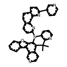 CC1(C)c2ncccc2N(c2ccc3ccc4ccc(-c5cccnc5)nc4c3n2)c2c1c1ccncc1c1c2oc2ccccc21